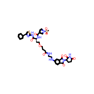 CS(=O)(=O)n1ccc(C(=O)N[C@@H](CCOCCCC(=O)NCCNc2ccc3c(c2)C(=O)N(C2CCC(=O)NC2=O)C3=O)C(=O)Nc2nc(-c3ccccc3)cs2)c1